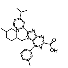 Cc1cccc(-c2nc(C(=O)O)nc3nc(-c4cc(C(C)C)ccn4)n(CC4CCC(C)CC4)c23)c1